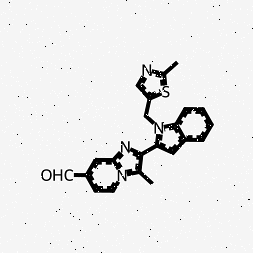 Cc1ncc(Cn2c(-c3nc4cc(C=O)ccn4c3C)cc3ccccc32)s1